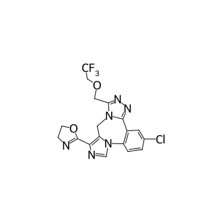 FC(F)(F)COCc1nnc2n1Cc1c(C3=NCCO3)ncn1-c1ccc(Cl)cc1-2